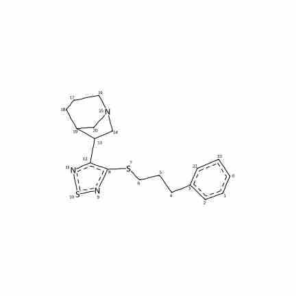 c1ccc(CCCSc2nsnc2C2CN3CCCC2C3)cc1